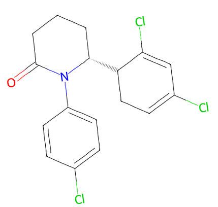 O=C1CCC[C@H](C2CC=C(Cl)C=C2Cl)N1c1ccc(Cl)cc1